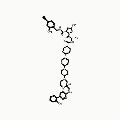 C#Cc1ccc(CNC(=O)[C@@H]2C[C@@H](O)CN2C(=O)[C@@H](NC(=O)[C@H]2CC[C@@H](N3CCC(N4CCC(N5CCN6c7cc(-c8ccccc8O)nnc7NC[C@H]6C5)CC4)CC3)CC2)C(C)(C)C)c(O)c1